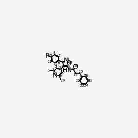 Cc1cc(-c2c(-c3ccc(F)cc3)noc2NC(=O)CCc2ccccc2)cc(C)n1